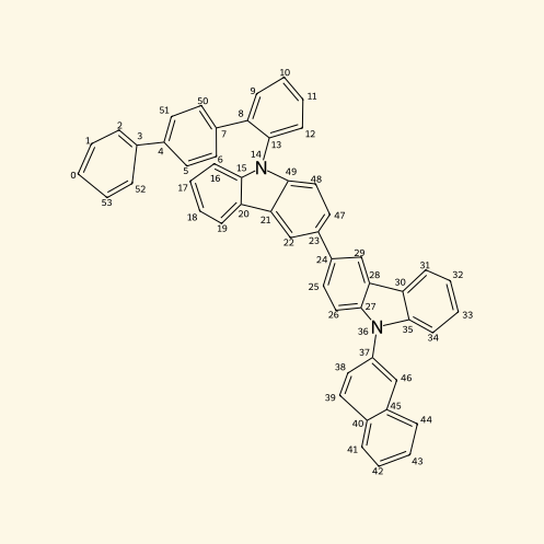 c1ccc(-c2ccc(-c3ccccc3-n3c4ccccc4c4cc(-c5ccc6c(c5)c5ccccc5n6-c5ccc6ccccc6c5)ccc43)cc2)cc1